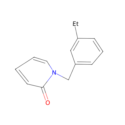 CCc1cccc(Cn2ccccc2=O)c1